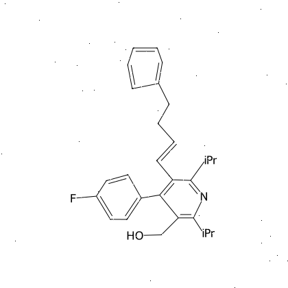 CC(C)c1nc(C(C)C)c(CO)c(-c2ccc(F)cc2)c1C=CCCc1ccccc1